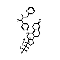 CN(Cc1ccccn1)C(=O)c1ccc([C@H]2C[C@@]3(C)C(CC[C@]3(O)C(F)(F)C(F)(F)F)C3CCC4=CC(=O)CCC4=C32)cc1